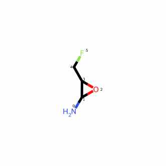 NC1OC1CF